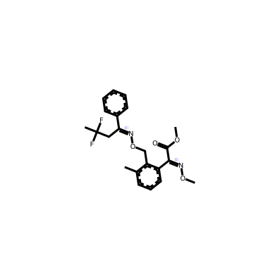 CO/N=C(/C(=O)OC)c1cccc(C)c1CO/N=C(\CC(C)(F)F)c1ccccc1